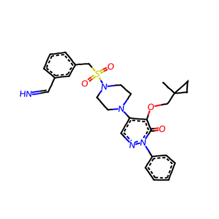 CC1(COc2c(N3CCN(S(=O)(=O)Cc4cccc(C=N)c4)CC3)cnn(-c3ccccc3)c2=O)CC1